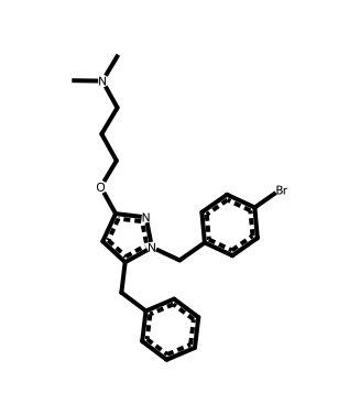 CN(C)CCCOc1cc(Cc2ccccc2)n(Cc2ccc(Br)cc2)n1